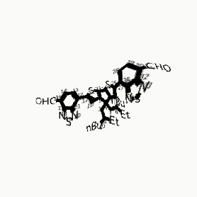 CCCCC(CC)CC1(CC(CC)CCCC)c2cc(-c3ccc(C=O)c4nsnc34)sc2-c2sc(-c3ccc(C=O)c4nsnc34)cc21